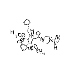 COC(=O)C1=C(CCc2ccccc2)NC(CC(=O)N2CCN(C3=NCCN3)CC2)=C(C(=O)OC)C1c1c(Cl)cccc1Cl